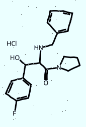 Cl.O=C(C(NCc1ccccc1)C(O)c1ccc(F)cc1)N1CCCC1